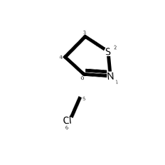 C1=NSCC1.CCl